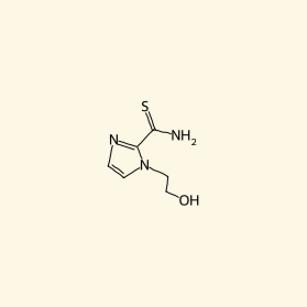 NC(=S)c1nccn1CCO